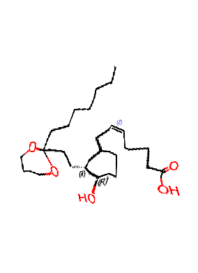 CCCCCCCC1(CC[C@@H]2C(C/C=C\CCCC(=O)O)CC[C@H]2O)OCCCO1